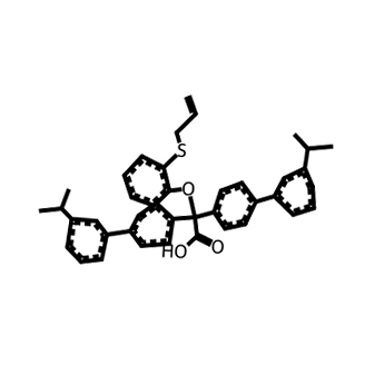 C=CCSc1ccccc1OC(C(=O)O)(c1ccc(-c2cccc(C(C)C)c2)cc1)c1ccc(-c2cccc(C(C)C)c2)cc1